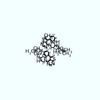 CC(C)(C)OC(=O)NC1CCN(c2ncnc3scc(-c4ccccc4)c23)CC1.Cc1sc2ncnc(N3CCC(NC(=O)OC(C)(C)C)CC3)c2c1-c1ccccc1